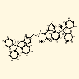 O=C(O)C(=NOCc1csc(NC(c2ccccc2)(c2ccccc2)c2ccccc2)n1)c1csc(NC(c2ccccc2)(c2ccccc2)c2ccccc2)n1